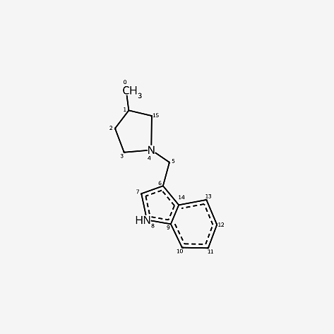 CC1CCN(Cc2c[nH]c3ccccc23)C1